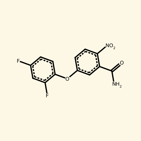 NC(=O)c1cc(Oc2ccc(F)cc2F)ccc1[N+](=O)[O-]